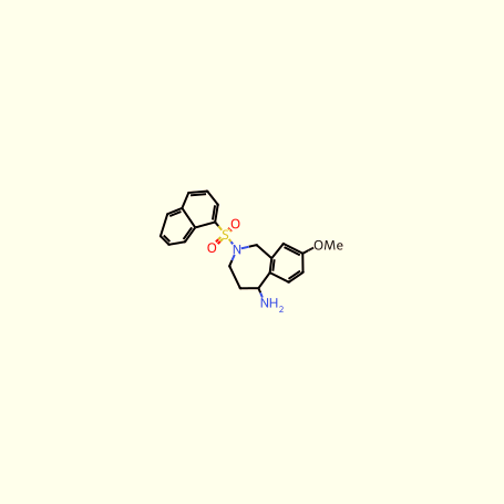 COc1ccc2c(c1)CN(S(=O)(=O)c1cccc3ccccc13)CCC2N